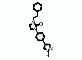 O=c1n(CCc2ccccc2)ccn1-c1ccc(-c2cn[nH]c2)cc1